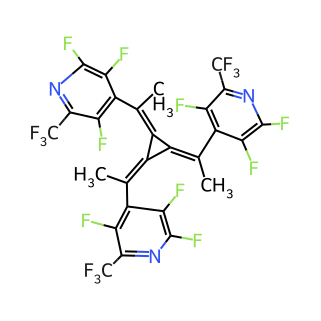 CC(=C1C(=C(C)c2c(F)c(F)nc(C(F)(F)F)c2F)C1=C(C)c1c(F)c(F)nc(C(F)(F)F)c1F)c1c(F)c(F)nc(C(F)(F)F)c1F